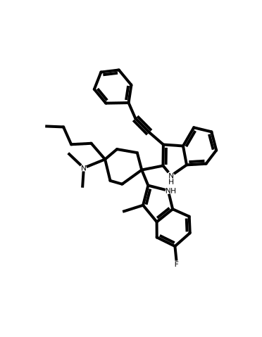 CCCCC1(N(C)C)CCC(c2[nH]c3ccc(F)cc3c2C)(c2[nH]c3ccccc3c2C#Cc2ccccc2)CC1